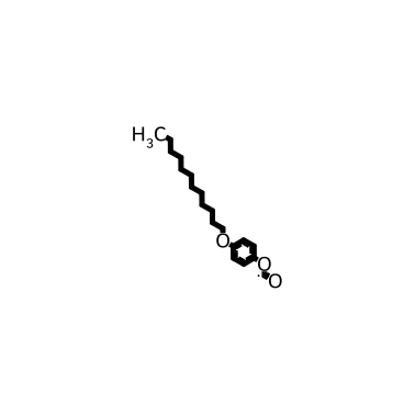 CCCCCCCCCCCCOc1ccc(O[C]=O)cc1